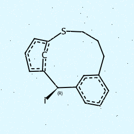 I[C@@H]1c2cccc(c2)CCCSc2cccc1c2